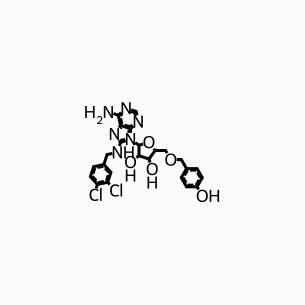 Nc1ncnc2c1nc(NCc1ccc(Cl)c(Cl)c1)n2C1OC(COCc2ccc(O)cc2)C(O)C1O